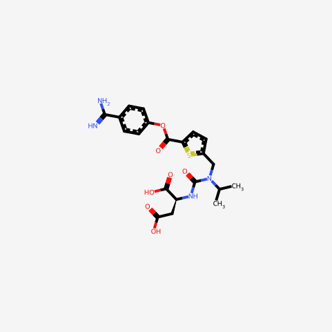 CC(C)N(Cc1ccc(C(=O)Oc2ccc(C(=N)N)cc2)s1)C(=O)N[C@@H](CC(=O)O)C(=O)O